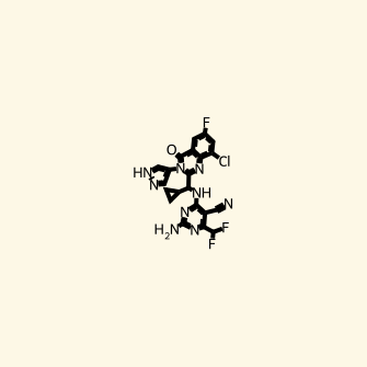 N#Cc1c(NC(c2nc3c(Cl)cc(F)cc3c(=O)n2-c2cn[nH]c2)C2CC2)nc(N)nc1C(F)F